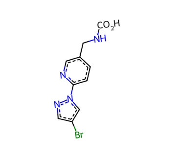 O=C(O)NCc1ccc(-n2cc(Br)cn2)nc1